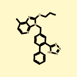 CCCOc1nc2c(C)ccnc2n1Cc1ccc(-c2ccccc2)c(-c2nnn[nH]2)c1